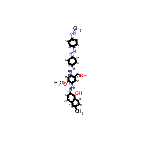 CN=Nc1ccc(N=Nc2ccc(N=Nc3cc(OC)c(N=Nc4ccc5cc(C)ccc5c4O)cc3CO)cc2)cc1